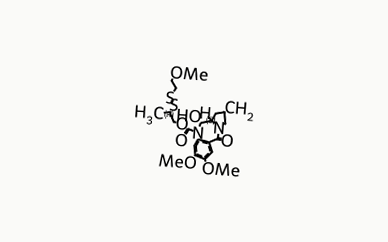 C=C1C[C@H]2C(O)N(C(=O)OC[C@@H](C)SSCCOC)c3cc(OC)c(OC)cc3C(=O)N2C1